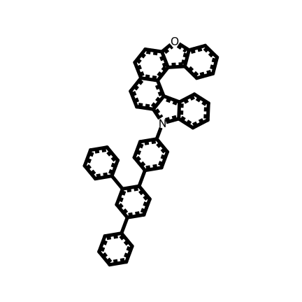 c1ccc(-c2ccc(-c3ccc(-n4c5ccccc5c5c6c(ccc7oc8ccccc8c76)ccc54)cc3)c(-c3ccccc3)c2)cc1